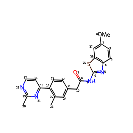 COc1ccc2nc(NC(=O)Cc3ccc(-c4ccnc(C)n4)c(C)c3)sc2c1